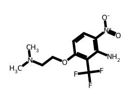 CN(C)CCOc1ccc([N+](=O)[O-])c(N)c1C(F)(F)F